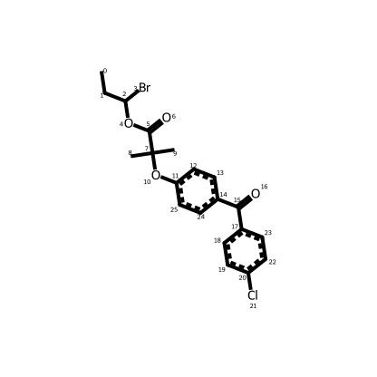 CCC(Br)OC(=O)C(C)(C)Oc1ccc(C(=O)c2ccc(Cl)cc2)cc1